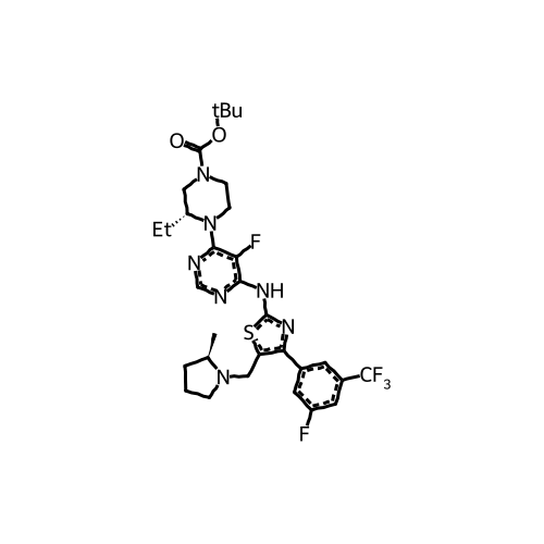 CC[C@@H]1CN(C(=O)OC(C)(C)C)CCN1c1ncnc(Nc2nc(-c3cc(F)cc(C(F)(F)F)c3)c(CN3CCC[C@H]3C)s2)c1F